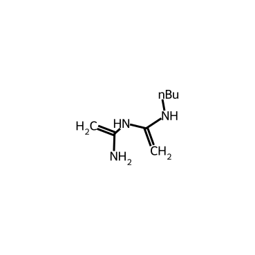 C=C(N)NC(=C)NCCCC